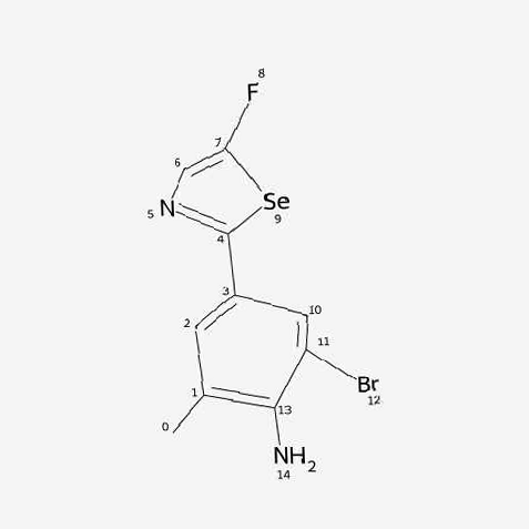 Cc1cc(-c2ncc(F)[se]2)cc(Br)c1N